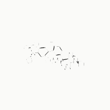 CCn1cnc2c(-c3ccc(F)c(-c4cc5c(cc4OC)N(C4CCC4)C(=O)CO5)c3)cnnc21